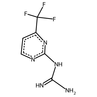 N=C(N)Nc1nccc(C(F)(F)F)n1